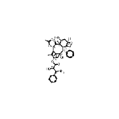 CC(=O)O[C@H]1C(=O)[C@@]2(C)C([C@H](c3ccccc3)[C@]3(O)C[C@H](OC(=O)[C@H](O)[C@@H](N)c4ccccc4)C(C)=C1C3(C)C)[C@]1(C)CO[C@@H]1C[C@@H]2O